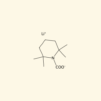 CC1(C)CCCC(C)(C)N1C(=O)[O-].[Li+]